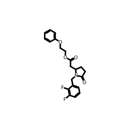 O=C(CC1CCC(=O)N1Cc1cccc(F)c1F)OCCOc1ccccc1